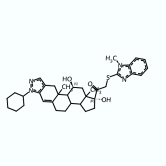 Cn1c(SCC(=O)[C@@]2(O)CCC3C4CCC5=Cc6c(cnn6C6CCCCC6)CC5(C)C4[C@@H](O)CC32C)nc2ccccc21